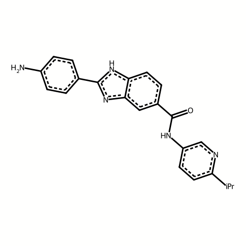 CC(C)c1ccc(NC(=O)c2ccc3[nH]c(-c4ccc(N)cc4)nc3c2)cn1